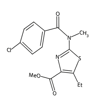 CCc1sc(N(C)C(=O)c2ccc(Cl)cc2)nc1C(=O)OC